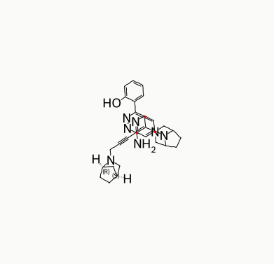 Nc1nnc(-c2ccccc2O)cc1N1CC2CCC(C1)N2c1ccnc(C#CCN2C[C@H]3CC[C@@H]2C3)c1